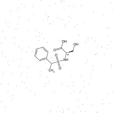 CC(c1ccccc1)S(=O)(=O)N[C@H](CO)C(=O)O